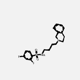 O=S(=O)(NCCCCN1CCc2ccccc2C1)c1ccc(F)cc1F